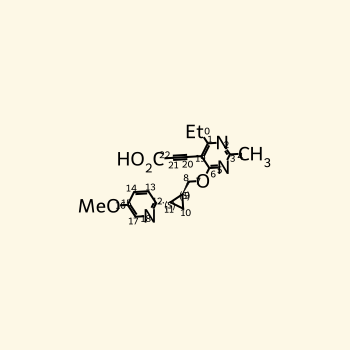 CCc1nc(C)nc(OC[C@H]2C[C@@H]2c2ccc(OC)cn2)c1C#CC(=O)O